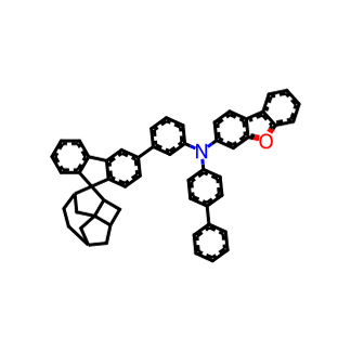 c1ccc(-c2ccc(N(c3cccc(-c4ccc5c(c4)-c4ccccc4C54C5CCC6CC7CC4C7(C6)C5)c3)c3ccc4c(c3)oc3ccccc34)cc2)cc1